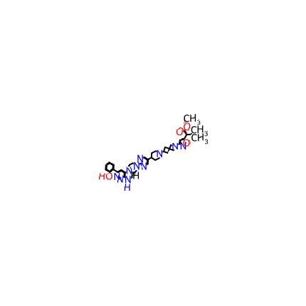 CCOC(=O)C(c1cc(N2CC3(CC(N4CCC(c5cnc(N6CCN7c8cc(-c9ccccc9O)nnc8NC[C@H]7C6)nc5)CC4)C3)C2)no1)C(C)C